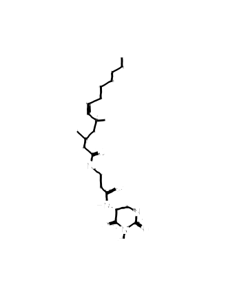 CCCCCC/C=C\C(C)CC(C)CC(=O)NCCC(=O)N[C@@H]1CNC(=O)N(C)C1=O